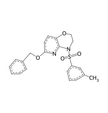 Cc1cccc(S(=O)(=O)N2CCOc3ccc(OCc4ccccc4)nc32)c1